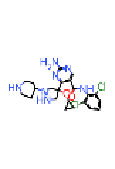 Nc1ncc(C(=O)Nc2c(Cl)cccc2Cl)c(C2(OC3CC3)CNN(C3CCNCC3)C2)n1